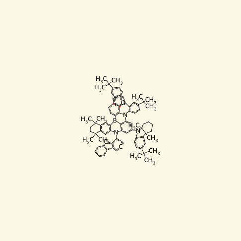 CC(C)(C)c1ccc(N2c3cc(N4c5ccc(C(C)(C)C)cc5C5(C)CCCCC45C)cc4c3B(c3cc5c(cc3N4c3cccc4c3oc3ccccc34)C(C)(C)CCC5(C)C)c3ccc4c(oc5ccc(C(C)(C)C)cc54)c32)c(-c2ccccc2)c1